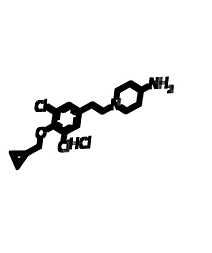 Cl.NC1CCN(CCc2cc(Cl)c(OCC3CC3)c(Cl)c2)CC1